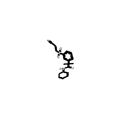 CC(C)(C(=O)NC1CCCCC1)c1cccc(S(=O)(=O)/C=C/C#N)c1